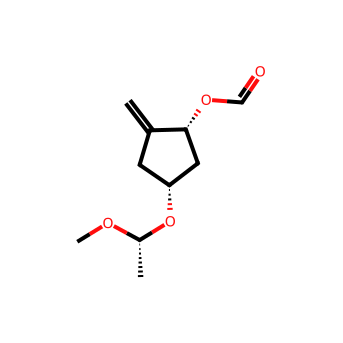 C=C1C[C@@H](O[C@H](C)OC)C[C@H]1OC=O